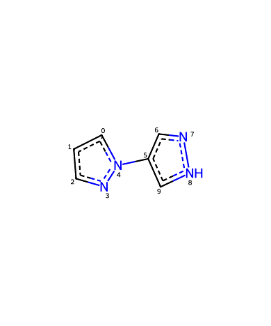 [c]1ccnn1-c1cn[nH]c1